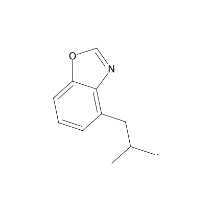 [CH2]C(C)Cc1cccc2ocnc12